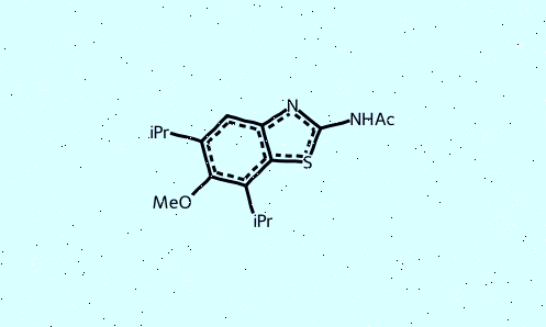 COc1c(C(C)C)cc2nc(NC(C)=O)sc2c1C(C)C